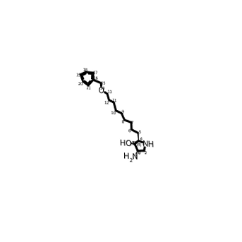 N[C@H]1CN[C@H](CCCCCCCCCOCc2ccccc2)[C@H]1O